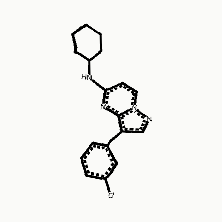 Clc1cccc(-c2cnn3ccc(NC4CCCCC4)nc23)c1